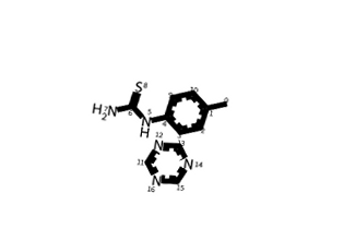 Cc1ccc(NC(N)=S)cc1.c1ncncn1